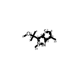 COC(C)(C)c1c2scc(C)c2nn1C